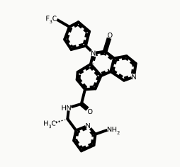 C[C@H](NC(=O)c1ccc2c(c1)c1cnccc1c(=O)n2-c1ccc(C(F)(F)F)cc1)c1cccc(N)n1